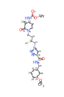 CC(C)OC(=O)Nc1ccn(CCC(F)Cn2cc(C(=O)NCc3cccc(OC(F)(F)F)c3)nn2)c(=O)c1F